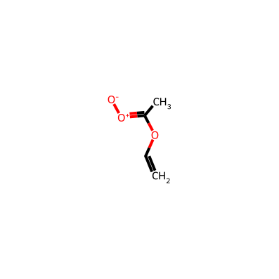 C=COC(C)=[O+][O-]